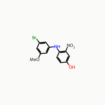 COc1cc(Br)cc(Nc2ccc(O)cc2[N+](=O)[O-])c1